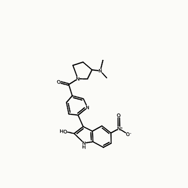 CN(C)C1CCN(C(=O)c2ccc(-c3c(O)[nH]c4ccc([N+](=O)[O-])cc34)nc2)C1